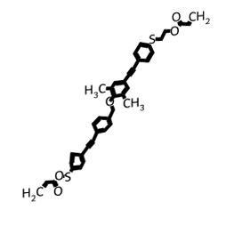 C=CC(=O)OCCSc1ccc(C#Cc2cc(C)c(OCc3ccc(C#Cc4ccc(SOC(=O)C=C)cc4)cc3)c(C)c2)cc1